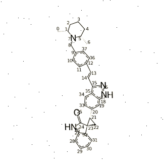 C[C@@H]1CCC[C@H](C)N1Cc1ccc(C=Cc2n[nH]c3cc([C@@H]4C[C@@]45C(=O)Nc4ccccc45)ccc23)cc1